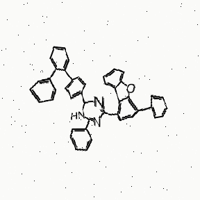 c1ccc(C2=NC(c3ccc(-c4ccccc4)c4oc5ccccc5c34)=NC(c3ccc(-c4ccccc4-c4ccccc4)cc3)N2)cc1